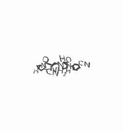 N#Cc1cccc(N2C(=O)[C@@H]3C[C@H]2CN3C[C@H](N)C(=O)N2C3C[C@H]3C[C@H]2C#N)c1